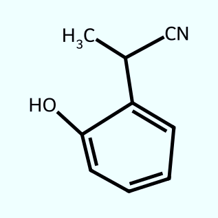 CC(C#N)c1ccccc1O